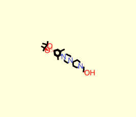 Cc1cc(B2OC(C)(C)C(C)(C)O2)cc(C)c1N1CCN(C2CCN(CCO)CC2)CC1